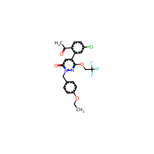 CCOc1ccc(Cn2nc(OCC(F)(F)F)c(-c3cc(Cl)ccc3C(C)=O)cc2=O)cc1